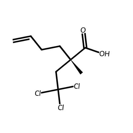 C=CCC[C@@](C)(CC(Cl)(Cl)Cl)C(=O)O